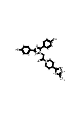 O=C(Cn1nc(-c2ccc(F)cc2)nc1-c1ccc(F)cc1)N1CCC(c2nnc(C(F)(F)F)s2)CC1